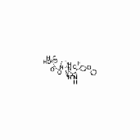 COC(O)C1OC1C(=O)N1CCCCC(Nc2ncnc3[nH]cc(C(=O)c4ccc(Oc5ccccc5)cc4F)c23)C1